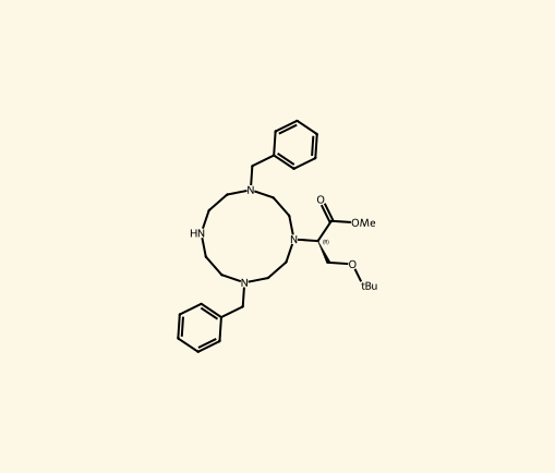 COC(=O)[C@@H](COC(C)(C)C)N1CCN(Cc2ccccc2)CCNCCN(Cc2ccccc2)CC1